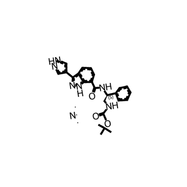 CC(C)(C)OC(=O)NC[C@@H](NC(=O)c1cccc2c(-c3cn[nH]c3)n[nH]c12)c1ccccc1.[N]